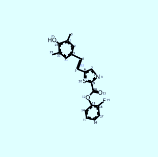 Cc1cc(/C=C/c2cnc(C(=O)Oc3ccccc3F)s2)cc(C)c1O